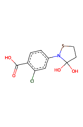 O=C(O)c1ccc(N2SCCC2(O)O)cc1Cl